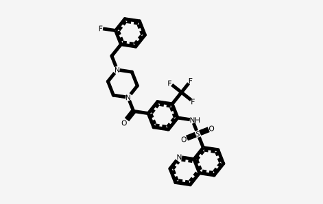 O=C(c1ccc(NS(=O)(=O)c2cccc3cccnc23)c(C(F)(F)F)c1)N1CCN(Cc2ccccc2F)CC1